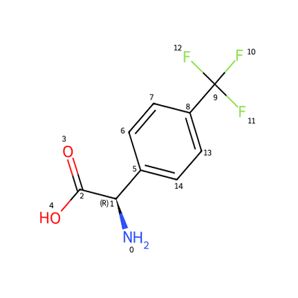 N[C@@H](C(=O)O)c1ccc(C(F)(F)F)cc1